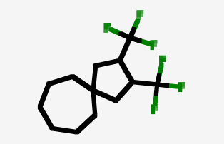 FC(F)(F)C1CC2(CCCCCC2)CC1C(F)(F)F